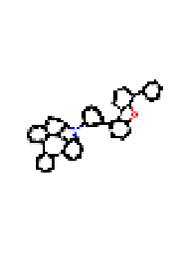 C1=CC2c3c(cccc3-c3cccc(-n4c5cccc6c5c5c7c(cccc7ccc54)-c4ccccc4-6)c3)OC2C(c2ccccc2)=C1